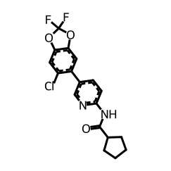 O=C(Nc1ccc(-c2cc3c(cc2Cl)OC(F)(F)O3)cn1)C1CCCC1